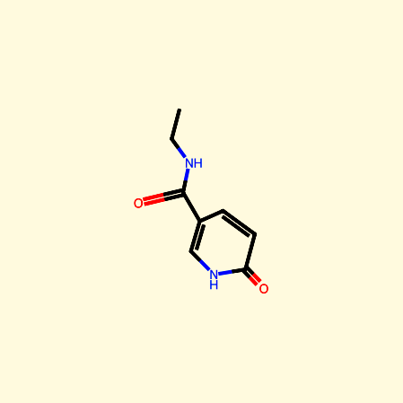 CCNC(=O)c1ccc(=O)[nH]c1